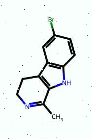 CC1=NCCc2c1[nH]c1ccc(Br)cc21